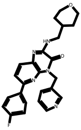 O=c1c(NCC2CCOCC2)nc2ccc(-c3ccc(F)cc3)nc2n1Cc1cccnc1